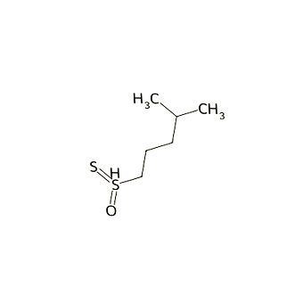 CC(C)CCC[SH](=O)=S